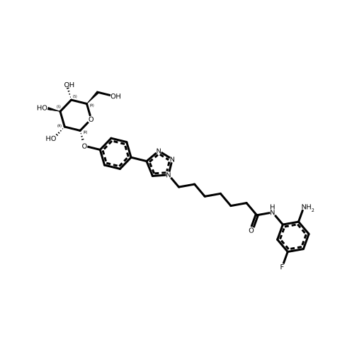 Nc1ccc(F)cc1NC(=O)CCCCCCn1cc(-c2ccc(O[C@H]3O[C@H](CO)[C@@H](O)[C@H](O)[C@H]3O)cc2)nn1